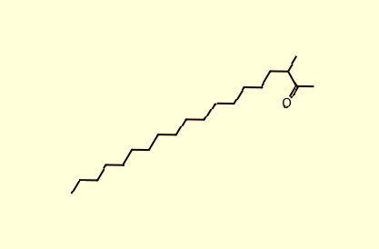 CCCCCCCCCCCCCCCCC(C)C(C)=O